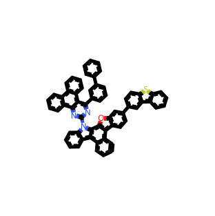 c1ccc2c(c#1)c1c3ccc(-c4ccc5sc6ccccc6c5c4)cc3oc1c1c2c2ccccc2n1-c1nc(-c2cccc(-c3ccccc3)c2)c2c3ccccc3c3ccccc3c2n1